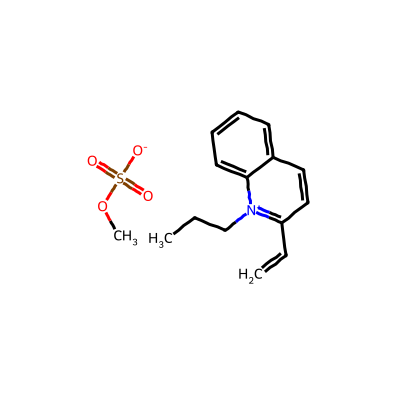 C=Cc1ccc2ccccc2[n+]1CCC.COS(=O)(=O)[O-]